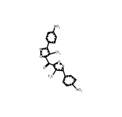 O=C(c1onc(-c2ccc([N+](=O)[O-])cc2)c1C(F)(F)F)c1onc(-c2ccc([N+](=O)[O-])cc2)c1C(F)(F)F